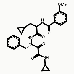 COc1cccc(C(=O)NC(CC2CC2)C(=O)N[C@@H](Cc2ccccc2)C(=O)C(=O)NC2CC2)c1